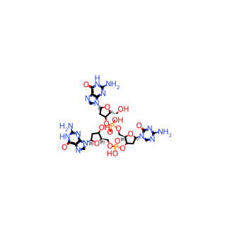 Nc1ncn([C@H]2CC(OP(=O)(O)OC[C@H]3O[C@@H](n4cnc5c(=O)[nH]c(N)nc54)CC3O)[C@@H](COP(=O)(O)OC3C[C@H](n4cnc5c(=O)[nH]c(N)nc54)O[C@@H]3CO)O2)c(=O)n1